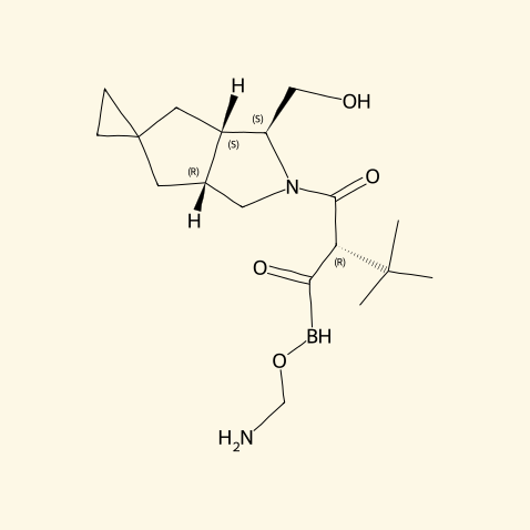 CC(C)(C)[C@H](C(=O)BOCN)C(=O)N1C[C@@H]2CC3(CC3)C[C@@H]2[C@H]1CO